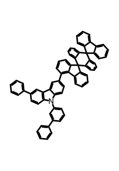 c1ccc(-c2cccc(-n3c4ccc(-c5ccccc5)cc4c4cc(-c5cccc6c5-c5ccccc5C65c6ccccc6C6(c7ccccc7-c7ccccc76)c6ccccc65)ccc43)c2)cc1